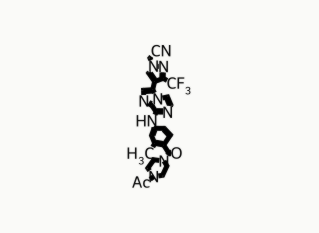 CC(=O)N1CCN(C(=O)c2ccc(Nc3nccn4c(-c5cn(CC#N)nc5C(F)(F)F)cnc34)cc2C)CC1